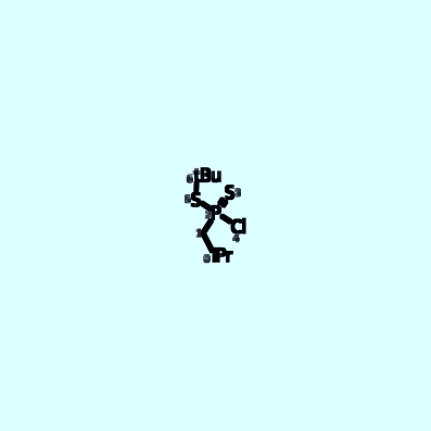 CC(C)CP(=S)(Cl)SC(C)(C)C